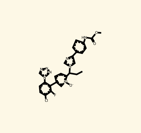 CCC(c1ccc(-c2c(-n3cnnn3)ccc(Cl)c2F)c[n+]1[O-])n1cnc(-c2ccc(NC(=O)OC)cc2)c1